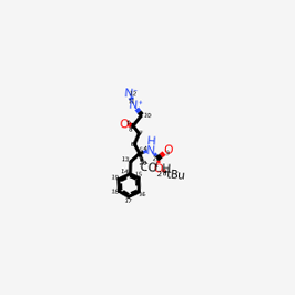 CC(C)(C)OC(=O)NC(CCC(=O)C=[N+]=[N-])(Cc1ccccc1)C(=O)O